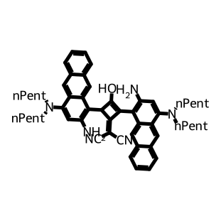 CCCCCN(CCCCC)c1cc(N)c(C2=C(O)C(c3c(N)cc(N(CCCCC)CCCCC)c4cc5ccccc5cc34)C2=C(C#N)C#N)c2cc3ccccc3cc12